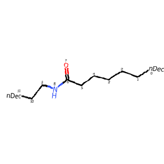 CCCCCCCCCCCCCCCC(=O)NCCCCCCCCCCCC